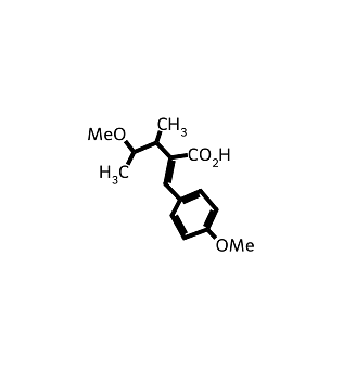 COc1ccc(/C=C(\C(=O)O)C(C)C(C)OC)cc1